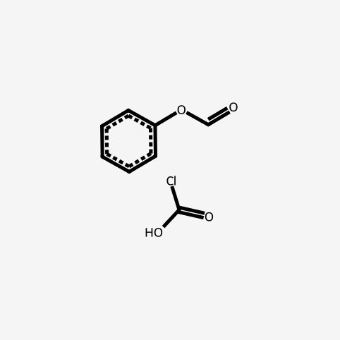 O=C(O)Cl.O=COc1ccccc1